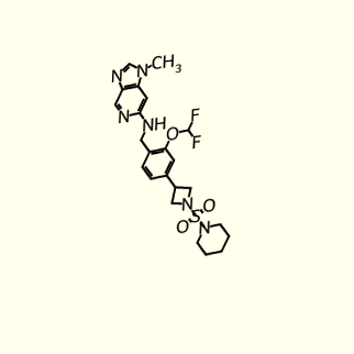 Cn1cnc2cnc(NCc3ccc(C4CN(S(=O)(=O)N5CCCCC5)C4)cc3OC(F)F)cc21